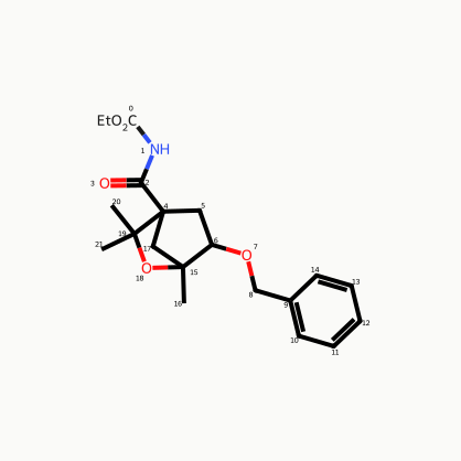 CCOC(=O)NC(=O)C12CC(OCc3ccccc3)C(C)(C1)OC2(C)C